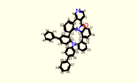 O=c1c2ccncc2c2cccc3c2n1-c1ccccc1-c1ccccc1N(c1ccc(-c2ccccc2)cc1)c1ccc(-c2ccccc2)cc1-3